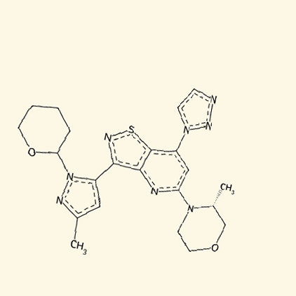 Cc1cc(-c2nsc3c(-n4ccnn4)cc(N4CCOC[C@H]4C)nc23)n(C2CCCCO2)n1